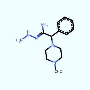 NN/N=C(\N)C(c1ccccc1)N1CCN(C=O)CC1